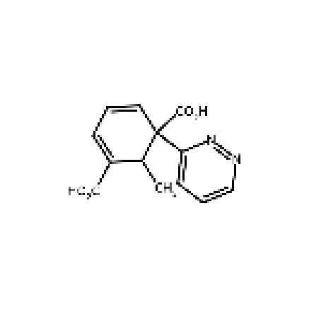 CC1C(C(=O)O)=CC=CC1(C(=O)O)c1cccnn1